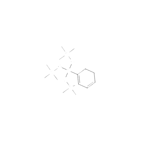 C[Si](C)(C)O[Si](O[Si](C)(C)C)(O[Si](C)(C)C)C1=CC=CCC1